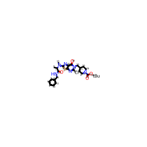 CC(C(=O)NCc1ccccc1)N(C)c1nc2c(=O)n(CC3CCN(C(=O)OC(C)(C)C)CC3)c(C(F)(F)F)nc2s1